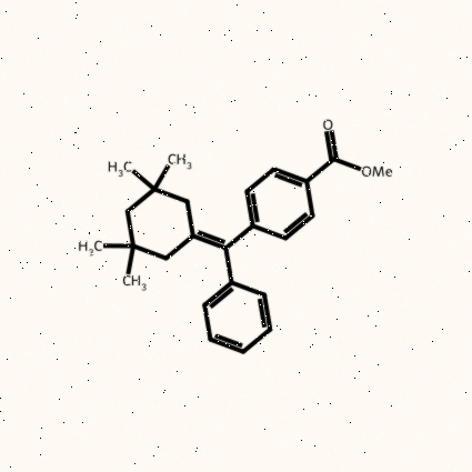 COC(=O)c1ccc(C(=C2CC(C)(C)CC(C)(C)C2)c2ccccc2)cc1